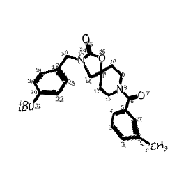 Cc1cccc(C(=O)N2CCC3(CC2)CN(Cc2ccc(C(C)(C)C)cc2)C(=O)O3)c1